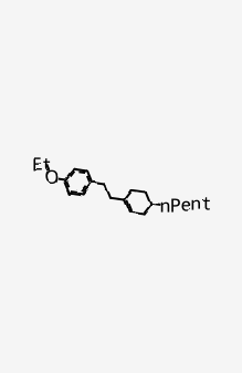 CCCCCC1CC=C(CCc2ccc(OCC)cc2)CC1